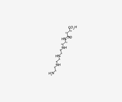 NCCNCCNCCNCCNC(=O)CCC(=O)O